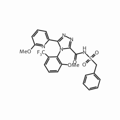 COc1cccc(-c2nnc(C(=O)NS(=O)(=O)Cc3ccccc3)n2-c2c(OC)cccc2C(F)(F)F)n1